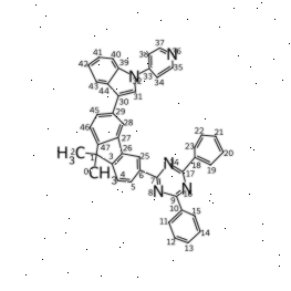 CC1(C)c2ccc(-c3nc(-c4ccccc4)nc(-c4ccccc4)n3)cc2-c2cc(-c3cn(-c4ccncc4)c4ccccc34)ccc21